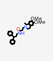 COc1cc2c(cc1OC)C(C)N(CCC(=O)NCCC(c1ccccc1)c1ccccc1)CC2